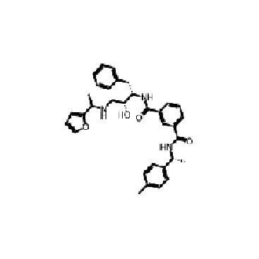 Cc1ccc([C@@H](C)NC(=O)c2cccc(C(=O)N[C@@H](Cc3ccccc3)[C@H](O)CNC(C)c3ccco3)c2)cc1